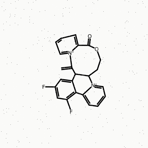 C=C1C2c3cc(F)cc(F)c3-c3cccc[n+]3C2CCOC(=O)c2cccc[n+]21